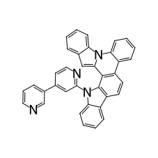 c1cncc(-c2ccnc(-n3c4ccccc4c4ccc5c6ccccc6n6c7ccccc7cc6c5c43)c2)c1